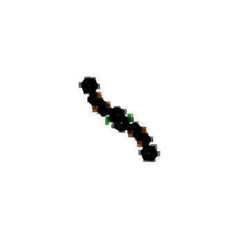 Fc1c(-c2cc3sc4cc(-c5ccccc5)sc4c3s2)ccc2c(F)c(-c3cc4sc5cc(-c6ccccc6)sc5c4s3)ccc12